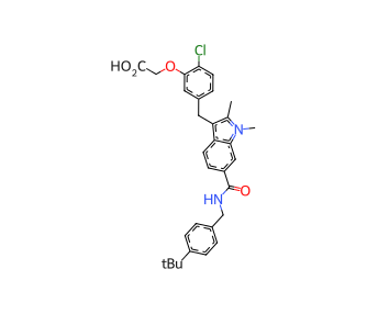 Cc1c(Cc2ccc(Cl)c(OCC(=O)O)c2)c2ccc(C(=O)NCc3ccc(C(C)(C)C)cc3)cc2n1C